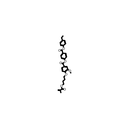 C=C(C)C(=O)OCCCCOc1ccc(C(=O)Oc2ccc(C(=O)Oc3ccc(CC)cc3)cc2)cc1OC